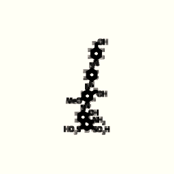 COc1cc(N=Nc2ccc(N=Nc3ccc(CO)cc3)cc2)c(CO)cc1N=Nc1ccc2c(S(=O)(=O)O)cc(S(=O)(=O)O)c(N)c2c1O